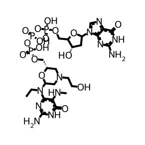 CCN(c1nc(N)[nH]c(=O)c1NC)C1CN(CCO)C[C@@H](COP(=O)(O)OP(=O)(O)OP(=O)(O)OCC2OC(n3cnc4c(=O)[nH]c(N)nc43)C[C@@H]2O)O1